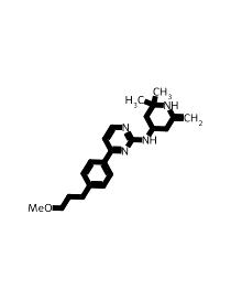 C=C1CC(Nc2nccc(-c3ccc(CCCOC)cc3)n2)CC(C)(C)N1